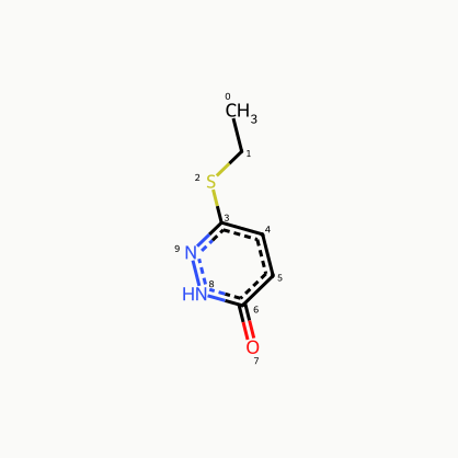 CCSc1ccc(=O)[nH]n1